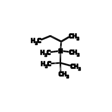 CCC(C)[Si](C)(C)C(C)(C)C